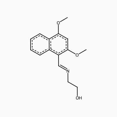 COc1cc(OC)c2ccccc2c1C=NCCO